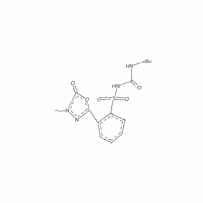 CCCCNC(=O)NS(=O)(=O)c1ccccc1-c1nn(C)c(=O)o1